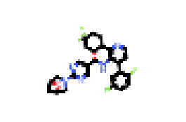 O=C(Nc1c(-c2cc(F)ccc2F)ccnc1C1CCC(F)(F)CC1)c1cnc(N2CC3CC(C2)O3)nc1